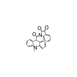 CN1c2ccccc2C(C(=O)N2C(=O)C(=O)c3ccccc32)c2ccccc21